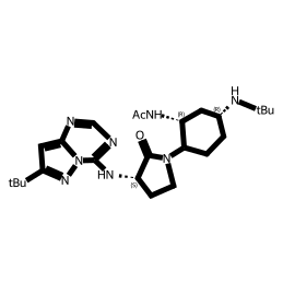 CC(=O)N[C@@H]1C[C@H](NC(C)(C)C)CCC1N1CC[C@H](Nc2ncnc3cc(C(C)(C)C)nn23)C1=O